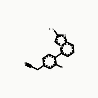 N#CCc1ccc(-c2cccc3nc(N)cn23)c(F)c1